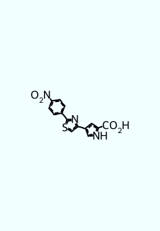 O=C(O)c1cc(-c2csc(-c3ccc([N+](=O)[O-])cc3)n2)c[nH]1